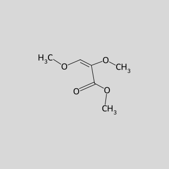 CO/C=C(/OC)C(=O)OC